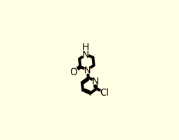 O=C1CNCCN1c1cc[c]c(Cl)n1